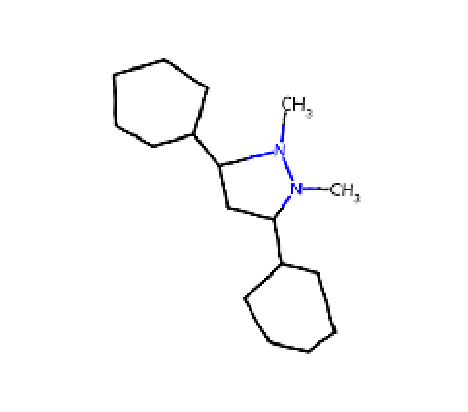 CN1C(C2CCCCC2)CC(C2CCCCC2)N1C